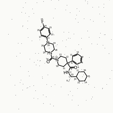 C[C@H](NC(=O)C1(c2ccccc2)CCN(C(=O)N2CCN(c3ccc(F)cc3)CC2)CC1)C1CCCCC1